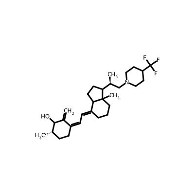 C=C1/C(=C\C=C2/CCCC3(C)C2CCC3[C@@H](C)CN2CCC(C(F)(F)F)CC2)CC[C@H](C)C1O